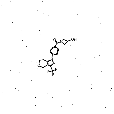 O=C(c1ccc(-n2nc(C(F)(F)F)c3c2CCOC3)cc1)N1CC(O)C1